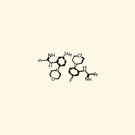 CC(C)C(=N)Nc1cc(F)ccc1N1CCOCC1.CSc1ccc(N2CCOCC2)c(NC(=N)C(C)C)c1